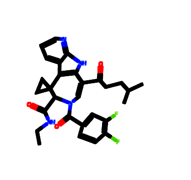 CCNC(=O)C1N(C(=O)c2ccc(F)c(F)c2)C=C(C(=O)CCC(C)C)c2[nH]c3ncccc3c2C12CC2